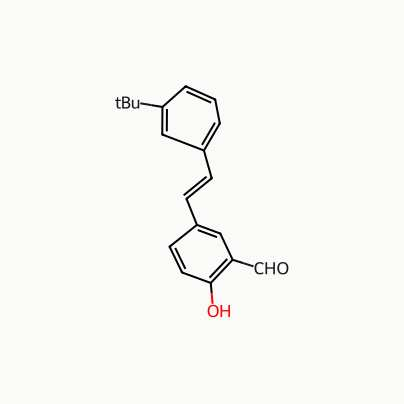 CC(C)(C)c1cccc(C=Cc2ccc(O)c(C=O)c2)c1